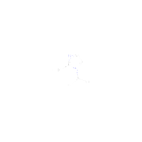 CCC(CC)n1ccnc1C=O